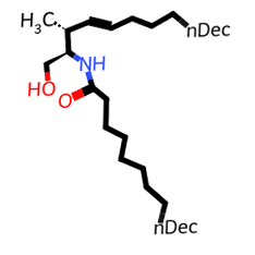 CCCCCCCCCCCCC/C=C/[C@@H](C)[C@H](CO)NC(=O)CCCCCCCCCCCCCCCCC